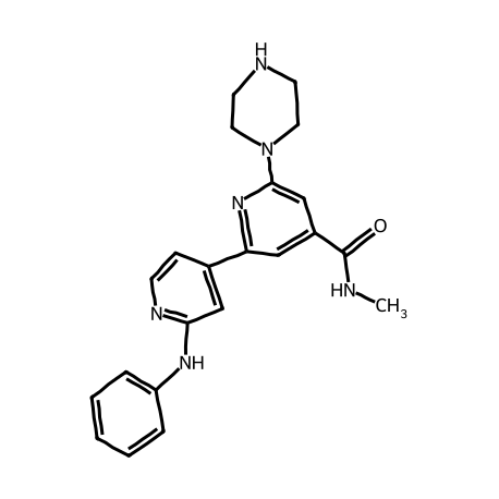 CNC(=O)c1cc(-c2ccnc(Nc3ccccc3)c2)nc(N2CCNCC2)c1